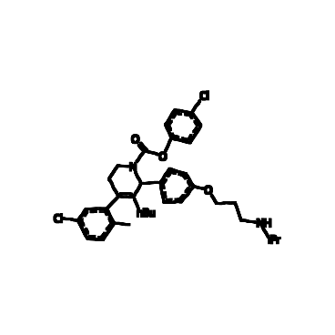 CCCCC1=C(c2cc(Cl)ccc2C)CCN(C(=O)Oc2ccc(Cl)cc2)C1c1ccc(OCCCNC(C)C)cc1